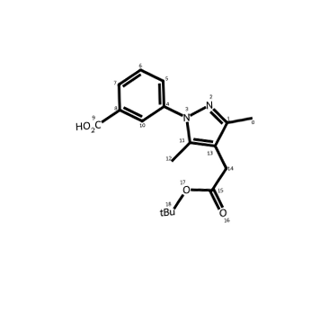 Cc1nn(-c2cccc(C(=O)O)c2)c(C)c1CC(=O)OC(C)(C)C